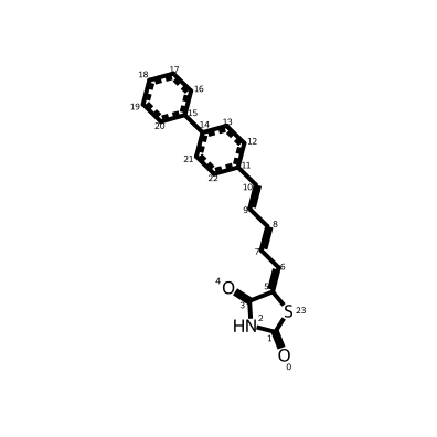 O=C1NC(=O)\C(=C/C=C/C=C/c2ccc(-c3ccccc3)cc2)S1